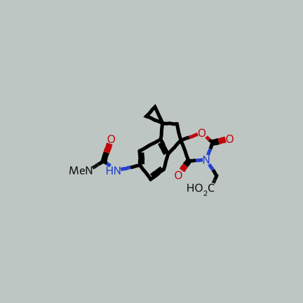 CNC(=O)Nc1ccc2c(c1)C1(CC1)CC21OC(=O)N(CC(=O)O)C1=O